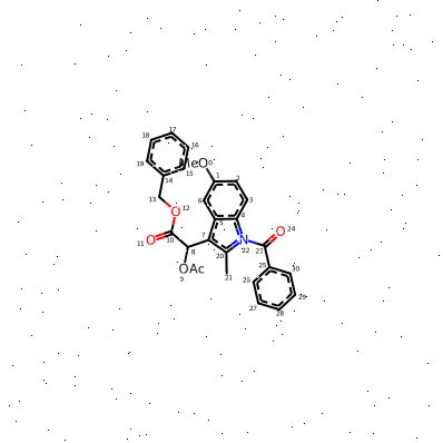 COc1ccc2c(c1)c(C(OC(C)=O)C(=O)OCc1ccccc1)c(C)n2C(=O)c1ccccc1